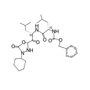 CC(C)C[C@H](NC(=O)OCc1ccccc1)C(=O)N[C@@H](CC(C)C)C(=O)C1NN(C2CCCCC2)C(=O)O1